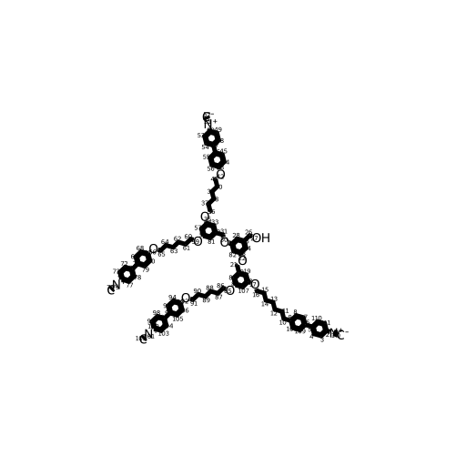 [C-]#[N+]c1ccc(-c2ccc(CCCCCCCOc3cc(COc4cc(CO)cc(OCc5cc(OCCCCCCOc6ccc(-c7ccc([N+]#[C-])cc7)cc6)cc(OCCCCCCOc6ccc(-c7ccc([N+]#[C-])cc7)cc6)c5)c4)cc(OCCCCCCOc4ccc(-c5ccc([N+]#[C-])cc5)cc4)c3)cc2)cc1